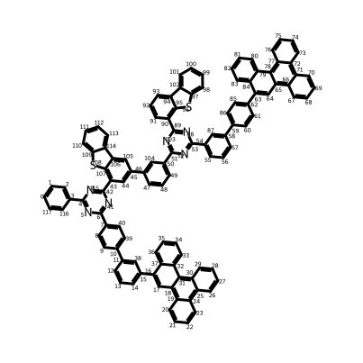 c1ccc(-c2nc(-c3ccc(-c4cccc(-c5cc6c7ccccc7c7ccccc7c6c6ccccc56)c4)cc3)nc(-c3cc(-c4cccc(-c5nc(-c6cccc(-c7ccc(-c8cc9c%10ccccc%10c%10ccccc%10c9c9ccccc89)cc7)c6)nc(-c6cccc7c6sc6ccccc67)n5)c4)cc4c3sc3ccccc34)n2)cc1